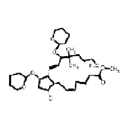 CCCCC(C)(C)[C@@H](/C=C/[C@@H]1[C@@H](C/C=C\CCCC(=O)OC)[C@H](Cl)C[C@H]1OC1CCCCO1)OC1CCCCO1